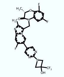 Cc1nc2cc(F)c(-c3cnc(N4CC(O)(C(F)(F)F)C4)nc3)cn2c1CN1C(=O)[C@H](C)Oc2c(F)cc(F)cc21